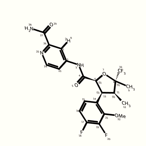 [2H]c1c(NC(=O)[C@H]2O[C@](C)(C(F)(F)F)[C@@H](C)[C@H]2c2ccc(F)c(F)c2OC)ccnc1C(N)=O